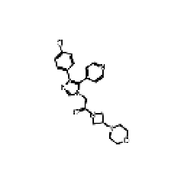 O=C(Cn1cnc(-c2ccc(Cl)cc2)c1-c1ccncc1)N1CC(N2CCOCC2)C1